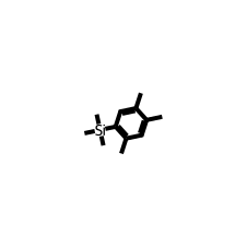 Cc1cc(C)c([Si](C)(C)C)cc1C